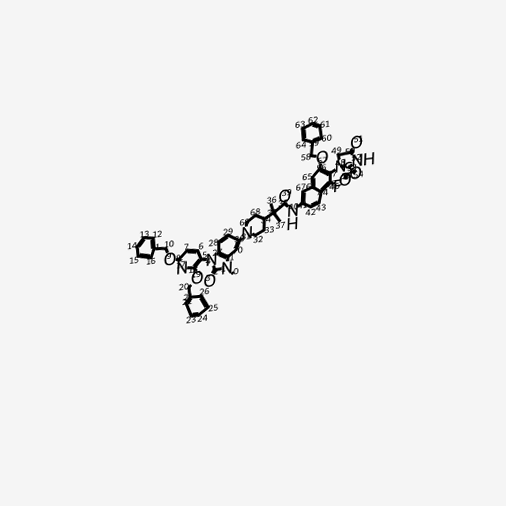 Cn1c(=O)n(-c2ccc(OCc3ccccc3)nc2OCc2ccccc2)c2ccc(N3CCC(C(C)(C)C(=O)Nc4ccc5c(F)c(N6CC(=O)NS6(=O)=O)c(OCc6ccccc6)cc5c4)CC3)cc21